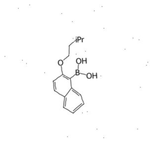 CC(C)CCOc1ccc2ccccc2c1B(O)O